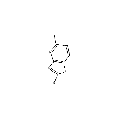 Cc1ccc2sc(F)cc2n1